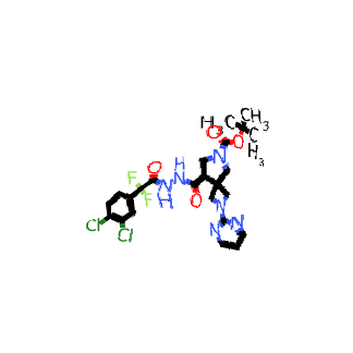 CC(C)(C)OC(=O)N1CC(C(=O)NNC(=O)C(F)(F)c2ccc(Cl)c(Cl)c2)C2(C1)CN(c1ncccn1)C2